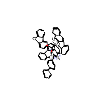 CC1C/C=C(c2c(-n3c4ccccc4c4cc5ccccc5cc43)ccc3c2oc2ccccc23)/N=C(c2ccc(-c3ccccc3)cc2)\N=C/1c1ccc2oc3ccccc3c2c1